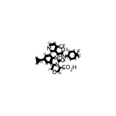 O=C(NC1CCC(F)(F)CC1)C(c1cnccc1C(F)(F)F)N(C(=O)N1CCOC[C@@H]1C(=O)O)c1ccc(C2CC2)cc1F